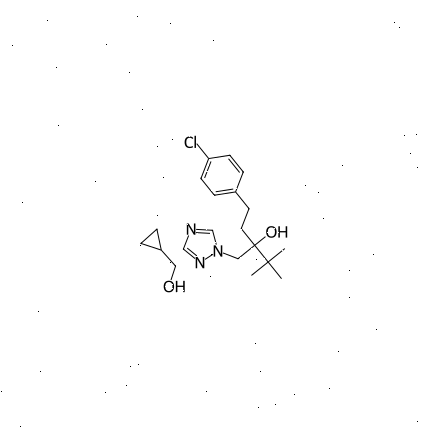 CC(C)(C)C(O)(CCc1ccc(Cl)cc1)Cn1cncn1.OCC1CC1